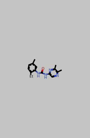 CCc1ccc(C)cc1NC(=O)Nc1cnc(C)c(C)n1